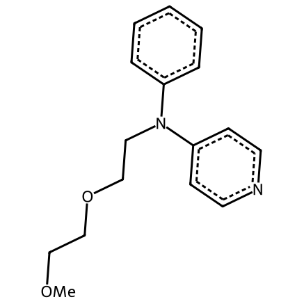 COCCOCCN(c1ccccc1)c1ccncc1